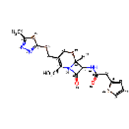 Cc1nnc(SCC2=C(C(=O)O)N3C(=O)C(NC(=O)Cc4cccs4)[C@H]3SC2)s1